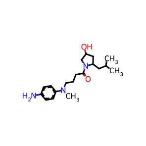 CC(C)CC1CC(O)CN1C(=O)CCCN(C)c1ccc(N)cc1